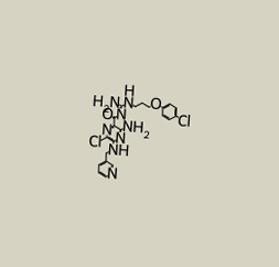 N/C(=N\C(=O)c1nc(Cl)c(NCc2cccnc2)nc1N)NCCCOc1ccc(Cl)cc1